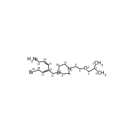 CC(C)COCCN1CCN(CC(/C=C\CN)=C/CBr)CC1